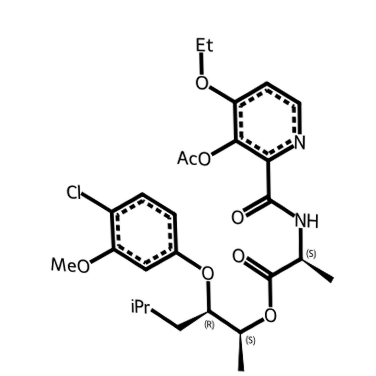 CCOc1ccnc(C(=O)N[C@@H](C)C(=O)O[C@@H](C)[C@@H](CC(C)C)Oc2ccc(Cl)c(OC)c2)c1OC(C)=O